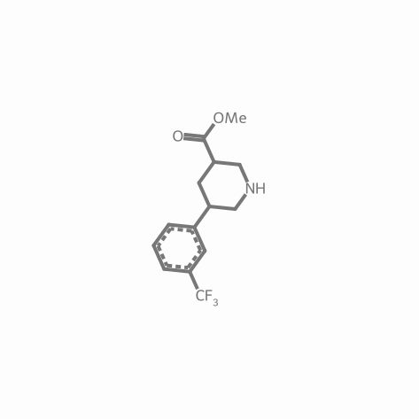 COC(=O)C1CNCC(c2cccc(C(F)(F)F)c2)C1